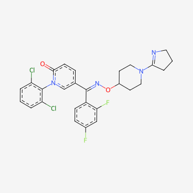 O=c1ccc(/C(=N/OC2CCN(C3=NCCC3)CC2)c2ccc(F)cc2F)cn1-c1c(Cl)cccc1Cl